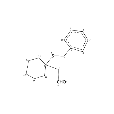 O=[C]CC1(SCc2ccccc2)CCCCC1